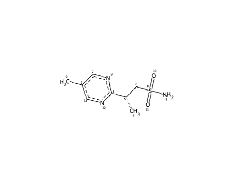 Cc1cnc([C@@H](C)CS(N)(=O)=O)nc1